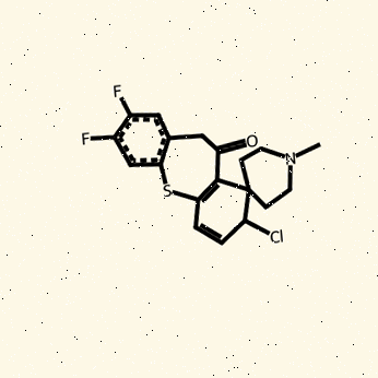 CN1CCC2(CC1)C1=C(C=CC2Cl)Sc2cc(F)c(F)cc2CC1=O